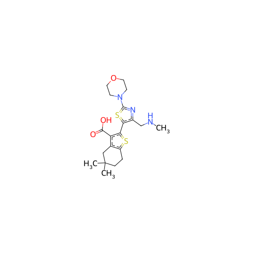 CNCc1nc(N2CCOCC2)sc1-c1sc2c(c1C(=O)O)CC(C)(C)CC2